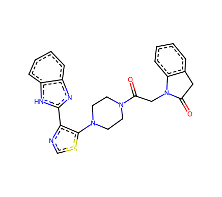 O=C(CN1C(=O)Cc2ccccc21)N1CCN(c2scnc2-c2nc3ccccc3[nH]2)CC1